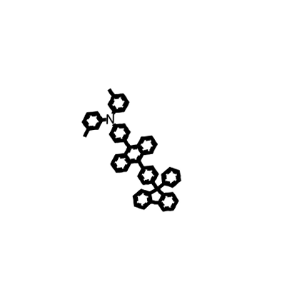 Cc1cccc(N(c2ccc(-c3c4ccccc4c(-c4ccc(C5(c6ccccc6)c6ccccc6-c6ccccc65)cc4)c4ccccc34)cc2)c2cccc(C)c2)c1